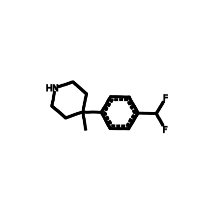 CC1(c2ccc(C(F)F)cc2)CCNCC1